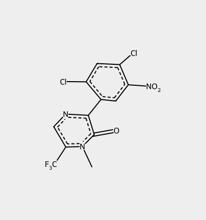 Cn1c(C(F)(F)F)cnc(-c2cc([N+](=O)[O-])c(Cl)cc2Cl)c1=O